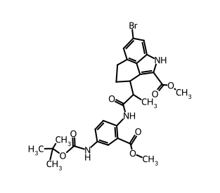 COC(=O)c1cc(NC(=O)OC(C)(C)C)ccc1NC(=O)C(C)C1CCc2cc(Br)cc3[nH]c(C(=O)OC)c1c23